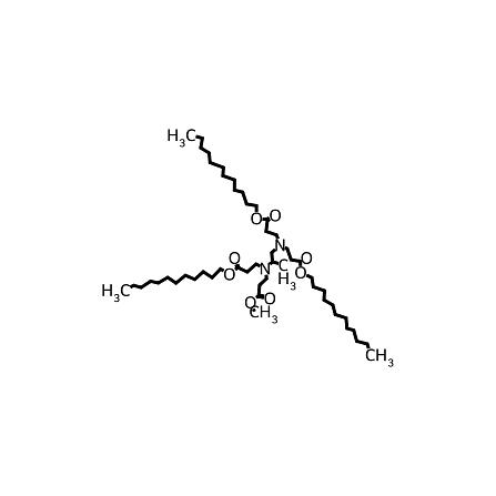 CCCCCCCCCCCCOC(=O)CCN(CCC(=O)OCCCCCCCCCCCC)CC(C)N(CCC(=O)OC)CCC(=O)OCCCCCCCCCCCC